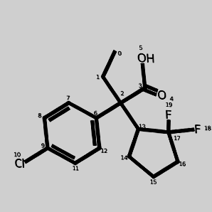 CCC(C(=O)O)(c1ccc(Cl)cc1)C1CCCC1(F)F